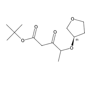 CC(O[C@@H]1CCOC1)C(=O)CC(=O)OC(C)(C)C